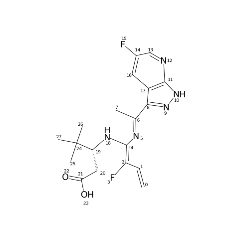 C=C/C(F)=C(\N=C(/C)c1n[nH]c2ncc(F)cc12)N[C@H](CC(=O)O)C(C)(C)C